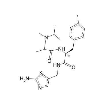 Cc1ccc(C[C@H](NC(=O)C(C)N(C)C(C)C)C(=O)NCc2cnc(N)s2)cc1